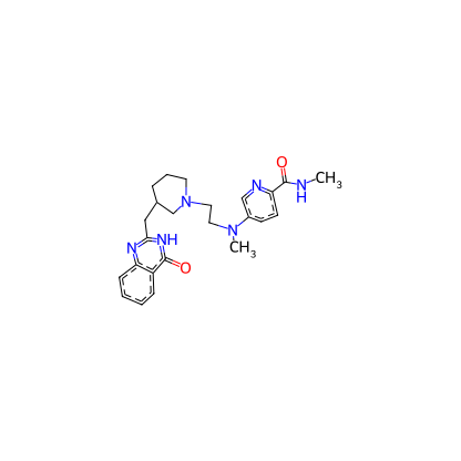 CNC(=O)c1ccc(N(C)CCN2CCCC(Cc3nc4ccccc4c(=O)[nH]3)C2)cn1